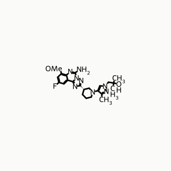 COc1cc(F)cc2c1nc(N)n1nc([C@H]3CCCN(c4cn(CC(C)(C)O)nc4C)C3)nc21